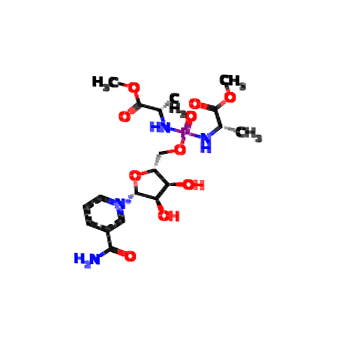 COC(=O)[C@H](C)NP(=O)(N[C@@H](C)C(=O)OC)OC[C@H]1O[C@@H]([n+]2cccc(C(N)=O)c2)[C@H](O)[C@@H]1O